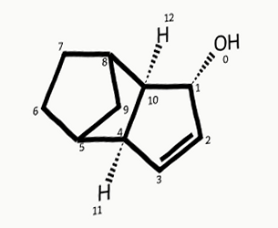 O[C@@H]1C=C[C@H]2C3CCC(C3)[C@@H]12